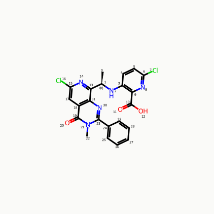 C[C@@H](Nc1ccc(Cl)nc1C(=O)O)c1nc(Cl)cc2c(=O)n(C)c(-c3ccccc3)nc12